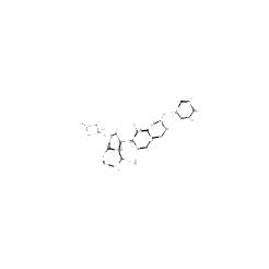 Nc1ncnc2c1c(-c1ccc3ccc(Oc4ccccc4)nc3c1F)cn2C1CC(O)C1